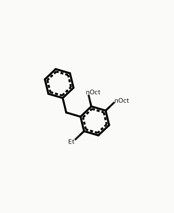 CCCCCCCCc1ccc(CC)c(Cc2ccccc2)c1CCCCCCCC